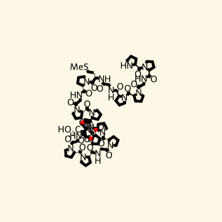 CSCC[C@H](NC(=O)CNC(=O)[C@@H]1CCCN1C(=O)[C@@H]1CCCN1C(=O)CNC(=O)[C@@H]1CCCN1C(=O)[C@@H]1CCCN1)C(=O)N1CCC[C@H]1C(=O)NCC(=O)N1CCC[C@H]1C(=O)N1CCC[C@H]1C(=O)NCC(=O)N1CCC[C@H]1C(=O)N1CCC[C@H]1C(=O)NCC(=O)N1CCC[C@H]1C(=O)N1CCC[C@H]1C(=O)NCC(=O)N1CCC[C@H]1C(=O)N1CCC[C@H]1C(=O)NCC(=O)O